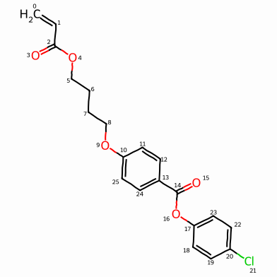 C=CC(=O)OCCCCOc1ccc(C(=O)Oc2ccc(Cl)cc2)cc1